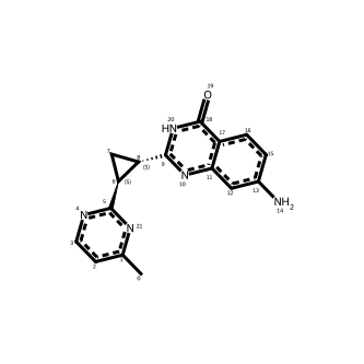 Cc1ccnc([C@H]2C[C@@H]2c2nc3cc(N)ccc3c(=O)[nH]2)n1